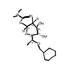 C[C@H](OCC1CCCCC1)[C@H]1O[C@@H]2SC(N(C)C)=N[C@@H]2[C@@H](O)[C@@H]1O